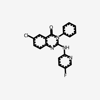 O=c1c2cc(Cl)ccc2nc(Nc2ccc(F)cn2)n1-c1ccccc1